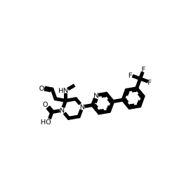 CNC1(CC=O)CN(c2ccc(-c3cccc(C(F)(F)F)c3)cn2)CCN1C(=O)O